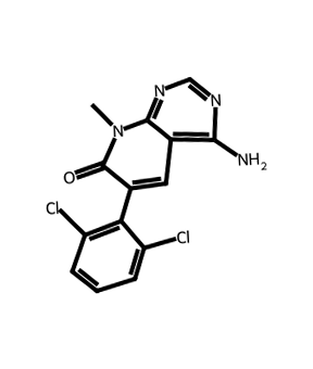 Cn1c(=O)c(-c2c(Cl)cccc2Cl)cc2c(N)ncnc21